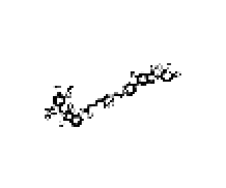 CCOc1cc([C@@H](CS(C)(=O)=O)N2C(=O)c3cccc(NC(=O)CCCc4cn(CCN5CCC(c6cc7c(cc6F)C(=O)N(C6CCC(=O)NC6=O)C7)CC5)nn4)c3C2=O)ccc1OC